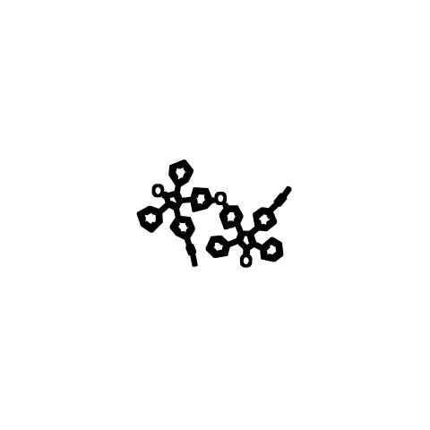 CC#Cc1ccc(C2=C(c3ccccc3)C(=O)C(c3ccccc3)=C2c2ccc(Oc3ccc(C4=C(c5ccccc5)C(=O)C(c5ccccc5)=C4c4ccc(C#CC)cc4)cc3)cc2)cc1